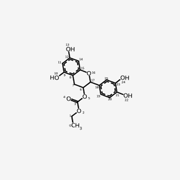 CCOC(=O)OC1Cc2c(O)cc(O)cc2OC1c1ccc(O)c(O)c1